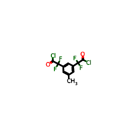 Cc1cc(C(F)(F)C(=O)Cl)cc(C(F)(F)C(=O)Cl)c1